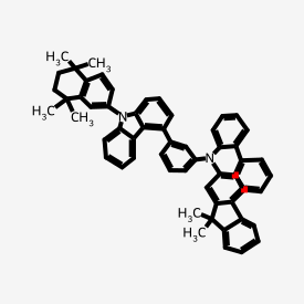 CC1(C)CCC(C)(C)c2cc(-n3c4ccccc4c4c(-c5cccc(N(c6ccc7c(c6)C(C)(C)c6ccccc6-7)c6ccccc6-c6ccccc6)c5)cccc43)ccc21